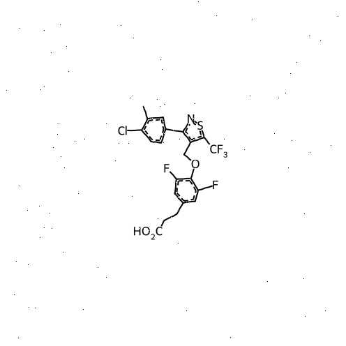 Cc1cc(-c2nsc(C(F)(F)F)c2COc2c(F)cc(CCC(=O)O)cc2F)ccc1Cl